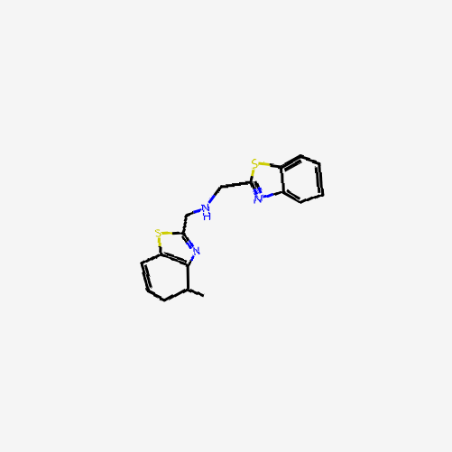 CC1CC=Cc2sc(CNCc3nc4ccccc4s3)nc21